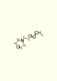 COOCCN1CCOCC1